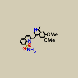 COc1cc2c(Cc3ccc4cccc(S(N)(=O)=O)c4n3)cnc(C)c2cc1OC